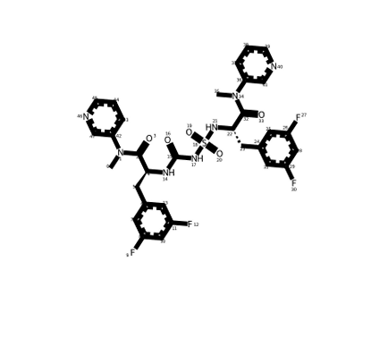 CN(C(=O)[C@H](Cc1cc(F)cc(F)c1)NC(=O)NS(=O)(=O)N[C@@H](Cc1cc(F)cc(F)c1)C(=O)N(C)c1cccnc1)c1cccnc1